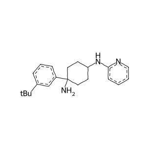 CC(C)(C)c1cccc(C2(N)CCC(Nc3ccccn3)CC2)c1